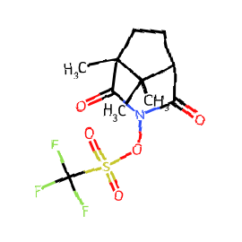 CC12CCC(C(=O)N(OS(=O)(=O)C(F)(F)F)C1=O)C2(C)C